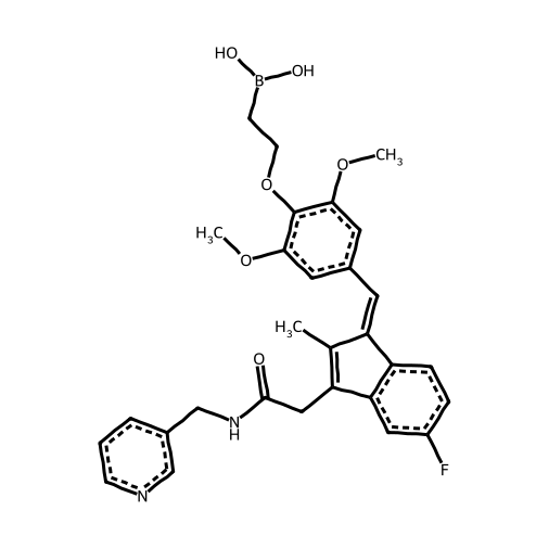 COc1cc(C=C2C(C)=C(CC(=O)NCc3cccnc3)c3cc(F)ccc32)cc(OC)c1OCCB(O)O